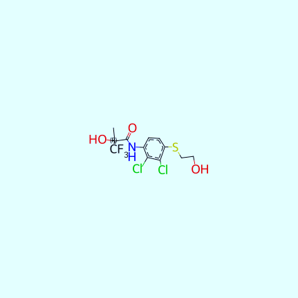 C[C@@](O)(C(=O)Nc1ccc(SCCO)c(Cl)c1Cl)C(F)(F)F